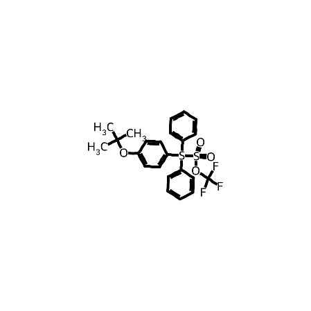 CC(C)(C)Oc1ccc(S(c2ccccc2)(c2ccccc2)S(=O)(=O)OC(F)(F)F)cc1